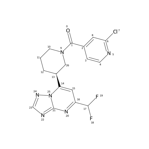 O=C(c1ccnc(Cl)c1)N1CCC[C@H](c2cc(C(F)F)nc3ncnn23)C1